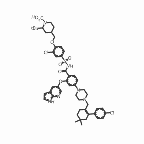 CC1(C)CCC(CN2CCN(c3ccc(C(=O)NS(=O)(=O)c4ccc(OCC5CCN(C(=O)O)C(C(C)(C)C)C5)c(Cl)c4)c(Oc4cnc5[nH]ccc5c4)c3)CC2)=C(c2ccc(Cl)cc2)C1